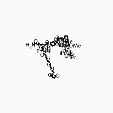 CC[C@H](C)[C@@H]([C@@H](CC(=O)N1CCCC1[C@H](OC)[C@@H](C)C(=O)NS(=O)(=O)c1ccc(NC(=O)[C@H](CCCNC(N)=O)NC(=O)[C@@H](NC(=O)CCOCCOCCOCCN2C(=O)C=CC2=O)C(C)C)cc1)OC)N(C)C(=O)[C@@H](NC(=O)[C@H](C(C)C)N(C)C)C(C)C